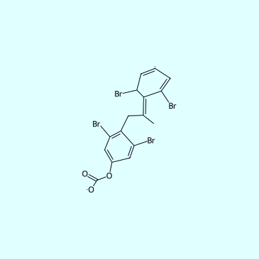 CC(Cc1c(Br)cc(OC([O])=O)cc1Br)=C1C(Br)=C[C]=CC1Br